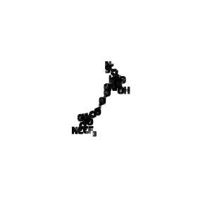 Cc1ncsc1-c1ccc(CNC(=O)[C@@H]2C[C@@H](O)CN2C(=O)[C@H](C)NC(=O)COCCCOCCCCOc2ccc(N3C(=O)N(c4ccc(C#N)c(C(F)(F)F)c4)C(=O)C3(C)C)cc2)cc1